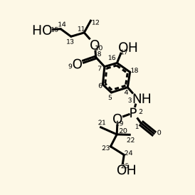 C#CP(Nc1ccc(C(=O)OC(C)CCO)c(O)c1)OC(C)(C)CCO